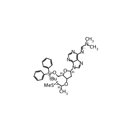 CSS[C@H](C)OC1C[C@H](n2cnc3c(/N=C/N(C)C)ncnc32)O[C@@H]1CO[Si](c1ccccc1)(c1ccccc1)C(C)(C)C